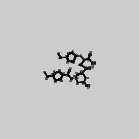 COc1ccc(CC(OC(=O)C2=C[C@@H](OC(=O)c3ccc(OC)cc3)CC(O)C2)C(=O)O)cc1